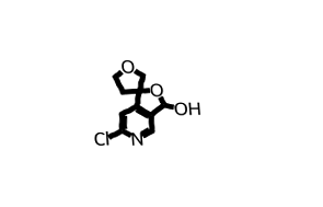 OC1OC2(CCOC2)c2cc(Cl)ncc21